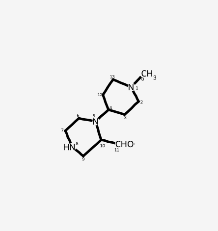 CN1CCC(N2CCNCC2[C]=O)CC1